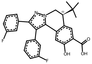 CC(C)(C)[C@@H]1Cn2nc(-c3cccc(F)c3)c(-c3cccc(F)c3)c2-c2cc(O)c(C(=O)O)cc21